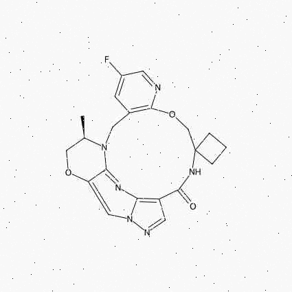 C[C@@H]1COc2cn3ncc4c3nc2N1Cc1cc(F)cnc1OCC1(CCC1)NC4=O